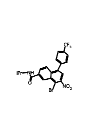 CC(C)NC(=O)c1ccc2c(-c3ccc(C(F)(F)F)cc3)cc([N+](=O)[O-])c(Br)c2c1